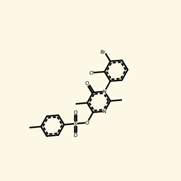 Cc1ccc(S(=O)(=O)Oc2nc(C)n(-c3cccc(Br)c3Cl)c(=O)c2C)cc1